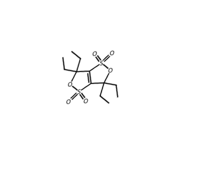 CCC1(CC)OS(=O)(=O)C2=C1S(=O)(=O)OC2(CC)CC